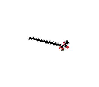 CCCCCCCCCCCCCCCCCCCCCCCC[C@@H](C(=O)OC)[C@@H](CC=O)O[Si](C)(C)C(C)(C)C